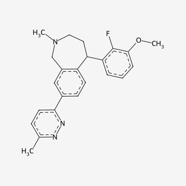 COc1cccc(C2CCN(C)Cc3cc(-c4ccc(C)nn4)ccc32)c1F